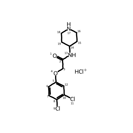 Cl.O=C(COc1ccc(Cl)c(Cl)c1)NC1CCNCC1